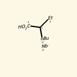 CCCCC(CC)C(=O)O.[Nb]